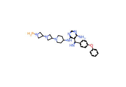 N=C(c1ccc(Oc2ccccc2)cc1)c1c(N)ncnc1NC1CCN(C2CN(C3CN(P)C3)C2)CC1